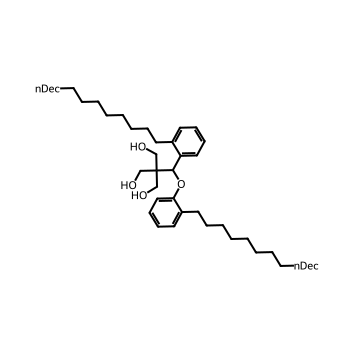 CCCCCCCCCCCCCCCCCCc1ccccc1OC(c1ccccc1CCCCCCCCCCCCCCCCCC)C(CO)(CO)CO